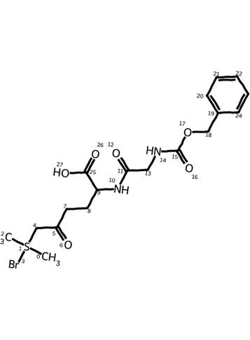 CS(C)(Br)CC(=O)CCC(NC(=O)CNC(=O)OCc1ccccc1)C(=O)O